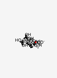 C=CC(=O)O.C=CC(=O)O.C=CC(=O)[O-].C=CC(=O)[O-].C=CC(=O)[O-].OCC(CO)(CO)COCC(CO)(CO)CO.[Al+3]